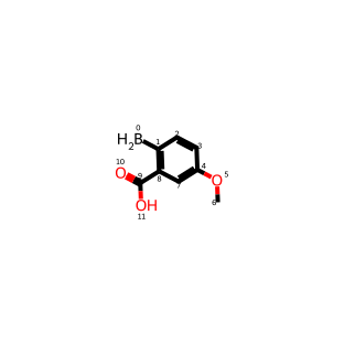 Bc1ccc(OC)cc1C(=O)O